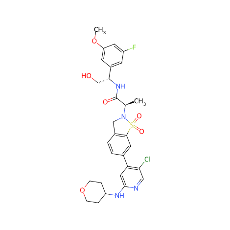 COc1cc(F)cc([C@@H](CO)NC(=O)[C@@H](C)N2Cc3ccc(-c4cc(NC5CCOCC5)ncc4Cl)cc3S2(=O)=O)c1